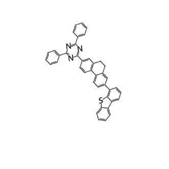 c1ccc(-c2nc(-c3ccccc3)nc(-c3ccc4c(c3)CCc3cc(-c5cccc6c5sc5ccccc56)ccc3-4)n2)cc1